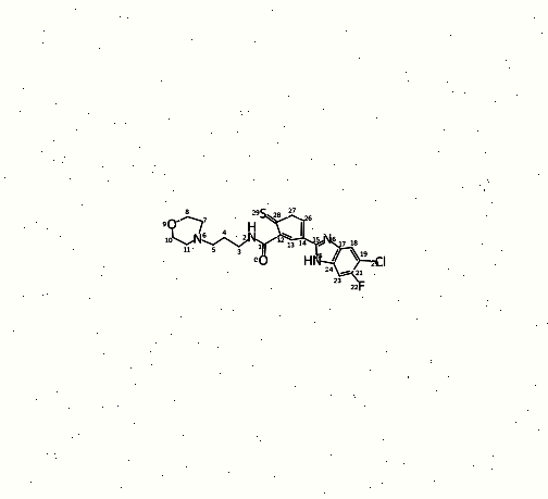 O=C(NCCCN1CCOCC1)C1=CC(c2nc3cc(Cl)c(F)cc3[nH]2)=CCC1=S